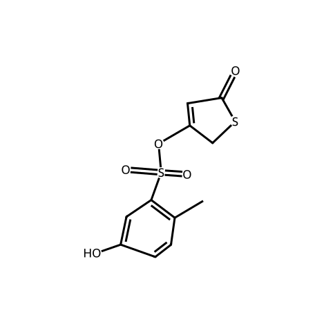 Cc1ccc(O)cc1S(=O)(=O)OC1=CC(=O)SC1